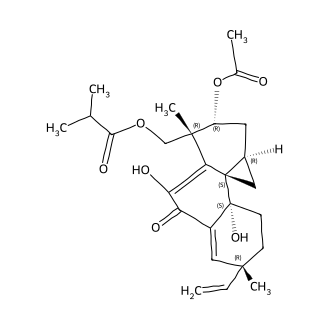 C=C[C@]1(C)C=C2C(=O)C(O)=C3[C@](C)(COC(=O)C(C)C)[C@H](OC(C)=O)C[C@H]4C[C@@]34[C@@]2(O)CC1